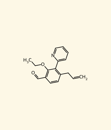 C=CCc1ccc(C=O)c(OCC)c1-c1ccccn1